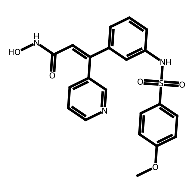 COc1ccc(S(=O)(=O)Nc2cccc(C(=CC(=O)NO)c3cccnc3)c2)cc1